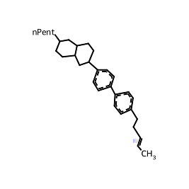 C/C=C/CCc1ccc(-c2ccc(C3CCC4CC(CCCCC)CCC4C3)cc2)cc1